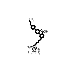 CCCCc1ccc(C2CCC(c3cc(CCCCCC[Si](C)(C)C[Si](C)(C)C)ccc3C(=O)O)CC2)cc1